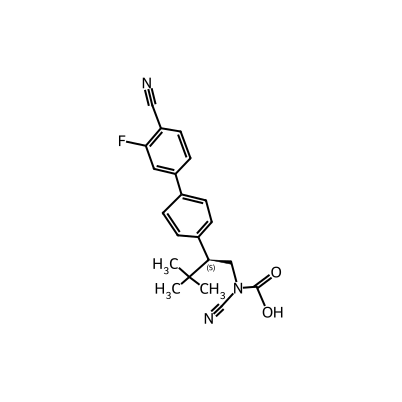 CC(C)(C)[C@H](CN(C#N)C(=O)O)c1ccc(-c2ccc(C#N)c(F)c2)cc1